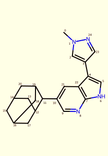 Cn1cc(-c2c[nH]c3ncc(C4C5CC6CC(C5)CC4C6)cc23)cn1